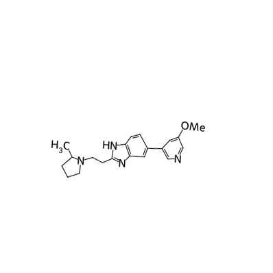 COc1cncc(-c2ccc3[nH]c(CCN4CCCC4C)nc3c2)c1